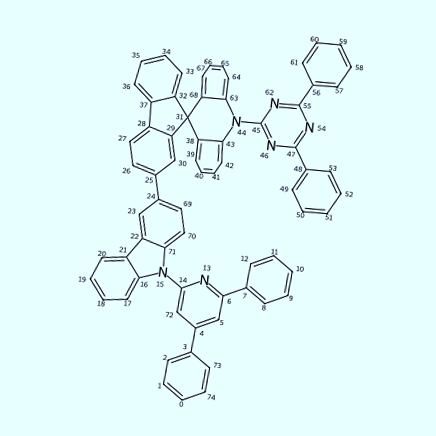 c1ccc(-c2cc(-c3ccccc3)nc(-n3c4ccccc4c4cc(-c5ccc6c(c5)C5(c7ccccc7-6)c6ccccc6N(c6nc(-c7ccccc7)nc(-c7ccccc7)n6)c6ccccc65)ccc43)c2)cc1